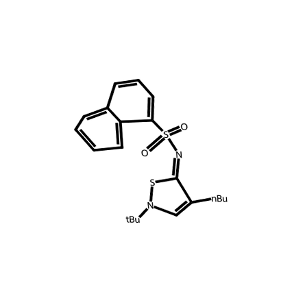 CCCCc1cn(C(C)(C)C)s/c1=N\S(=O)(=O)c1cccc2ccccc12